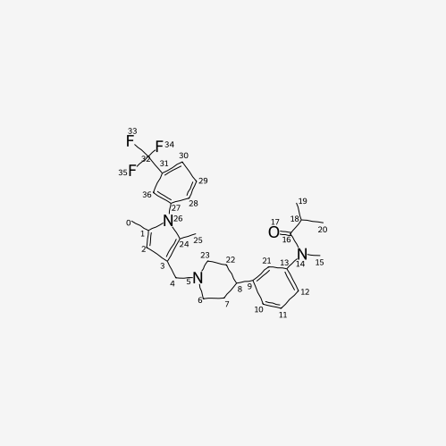 Cc1cc(CN2CCC(c3cccc(N(C)C(=O)C(C)C)c3)CC2)c(C)n1-c1cccc(C(F)(F)F)c1